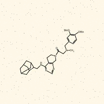 COc1ccc(CN(C)CC(=O)N2CCc3c(ncnc3NCC3C4CC5CC(C4)CC3C5)C2)cc1OC